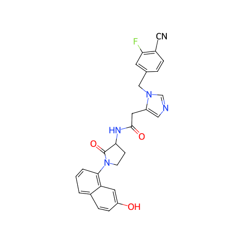 N#Cc1ccc(Cn2cncc2CC(=O)NC2CCN(c3cccc4ccc(O)cc34)C2=O)cc1F